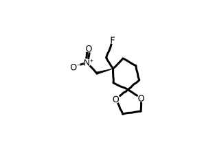 O=[N+]([O-])C[C@@]1(CF)CCCC2(C1)OCCO2